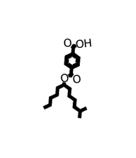 CCCCCC(CCCCC(C)C)OC(=O)c1ccc(C(=O)O)cc1